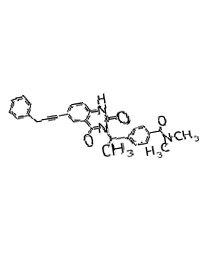 CC(c1ccc(C(=O)N(C)C)cc1)n1c(=O)[nH]c2ccc(C#CCc3ccccc3)cc2c1=O